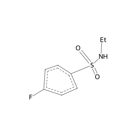 [CH2]CNS(=O)(=O)c1ccc(F)cc1